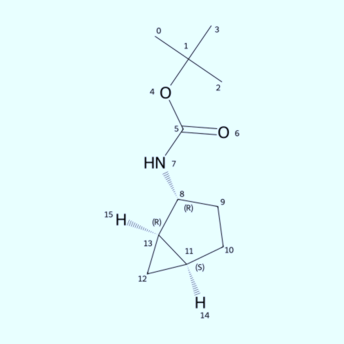 CC(C)(C)OC(=O)N[C@@H]1CC[C@H]2C[C@H]21